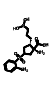 Nc1ccccc1S(=O)(=O)C1C[C@H](CCCB(O)O)[C@](N)(C(=O)O)C1